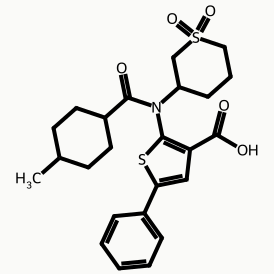 CC1CCC(C(=O)N(c2sc(-c3ccccc3)cc2C(=O)O)C2CCCS(=O)(=O)C2)CC1